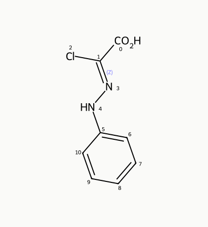 O=C(O)/C(Cl)=N/Nc1ccccc1